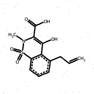 C=CCc1cccc2c1C(O)=C(C(=O)O)N(C)S2(=O)=O